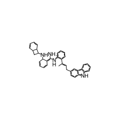 C/C(=C\Cc1ccc2[nH]c3ccccc3c2c1)c1ccccc1N/C(N)=C1\C=CC=CC1NC1CC2C=CC=CC21